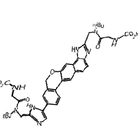 CCCCN(Cc1ncc(-c2ccc3c(c2)COc2cc4c(ccc5nc(CN(C(=O)CNC(=O)O)[C@@H](C)CC)[nH]c54)cc2-3)[nH]1)C(=O)CNC(=O)O